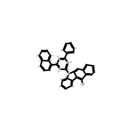 Clc1c2ccccc2cc2c1c1ccccc1n2-c1nc(-c2ccccc2)nc(-c2cccc3ccccc23)n1